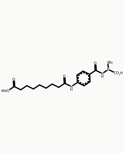 COC(=O)CCCCCCCC(=O)Nc1ccc(C(=O)NN(C(=O)O)C(C)(C)C)cc1